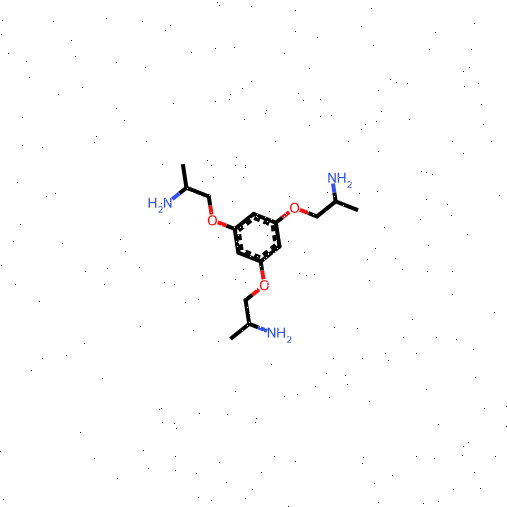 CC(N)COc1cc(OCC(C)N)cc(OCC(C)N)c1